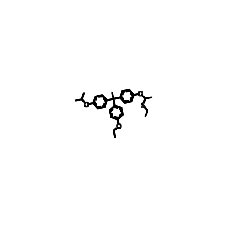 CCOc1ccc(C(C)(c2ccc(OC(C)C)cc2)c2ccc(OC(C)SCC)cc2)cc1